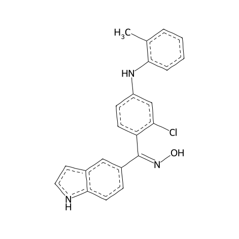 Cc1ccccc1Nc1ccc(/C(=N\O)c2ccc3[nH]ccc3c2)c(Cl)c1